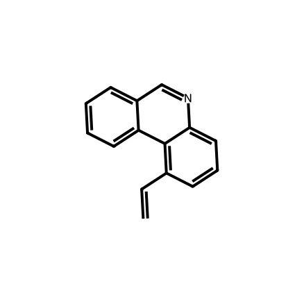 C=Cc1cccc2ncc3ccccc3c12